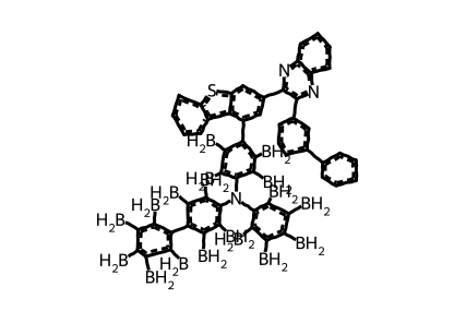 Bc1c(B)c(B)c(-c2c(B)c(B)c(N(c3c(B)c(B)c(B)c(B)c3B)c3c(B)c(B)c(-c4cc(-c5nc6ccccc6nc5-c5cccc(-c6ccccc6)c5)cc5sc6ccccc6c45)c(B)c3B)c(B)c2B)c(B)c1B